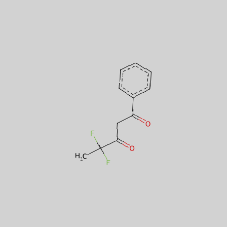 CC(F)(F)C(=O)CC(=O)c1ccccc1